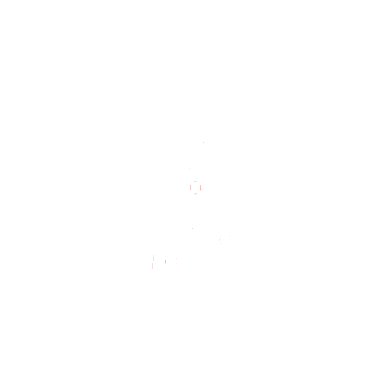 O=C(O)C1CC2CCC(C1)C2=O